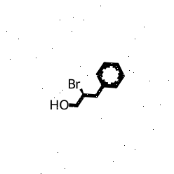 OC[C@@H](Br)Cc1ccccc1